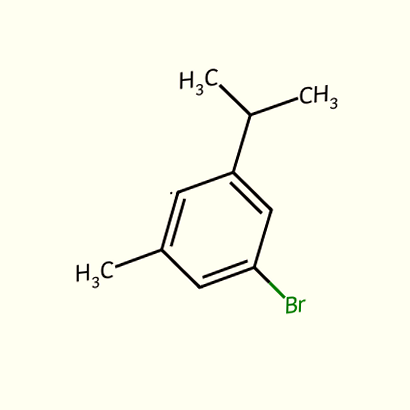 Cc1[c]c(C(C)C)cc(Br)c1